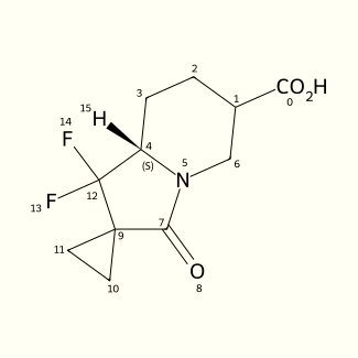 O=C(O)C1CC[C@@H]2N(C1)C(=O)C1(CC1)C2(F)F